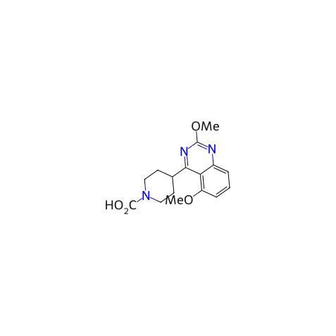 COc1nc(C2CCN(C(=O)O)CC2)c2c(OC)cccc2n1